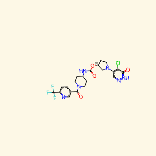 O=C(NC1CCN(C(=O)c2ccc(C(F)(F)F)nc2)CC1)O[C@@H]1CCN(c2cn[nH]c(=O)c2Cl)C1